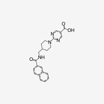 O=C(O)c1cnc(N2CCC(CNC(=O)c3ccc4ccccc4c3)CC2)nc1